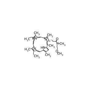 CCC1=C(C)c2cc3[nH]c(cc4nc(c(C)c5cc(C)c(cc1n2)[nH]5)[C@@H](CCC(=O)N(C)CCOC)[C@@H]4C)c(C)c3CC